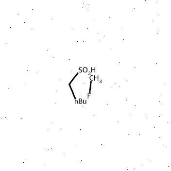 CCCCCS(=O)(=O)O.CF